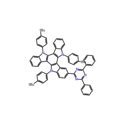 CC(C)(C)c1ccc(-n2c3ccccc3c3c2c2c4ccccc4n(-c4ccc(C(C)(C)C)cc4)c2c2c4cc(-c5nc(-c6ccccc6)nc(-c6ccccc6)n5)ccc4n(-c4ccc(C(C)(C)C)cc4)c32)cc1